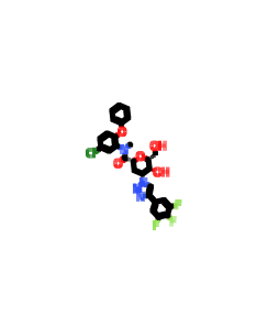 CN(C(=O)[C@H]1C[C@@H](n2cc(-c3cc(F)c(F)c(F)c3)nn2)[C@@H](O)[C@@H](CO)O1)c1cc(Cl)ccc1Oc1ccccc1